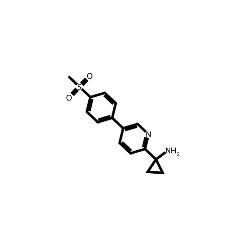 CS(=O)(=O)c1ccc(-c2ccc(C3(N)CC3)nc2)cc1